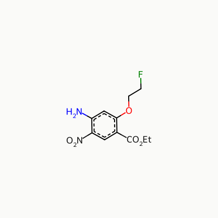 CCOC(=O)c1cc([N+](=O)[O-])c(N)cc1OCCF